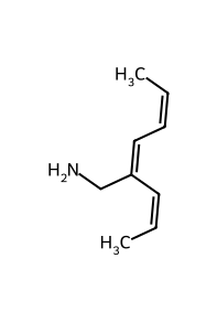 C\C=C/C=C(\C=C/C)CN